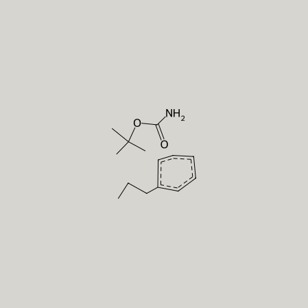 CC(C)(C)OC(N)=O.CCCc1ccccc1